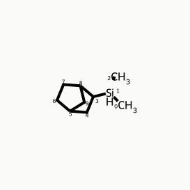 C[SiH](C)C1CC2CCC1C2